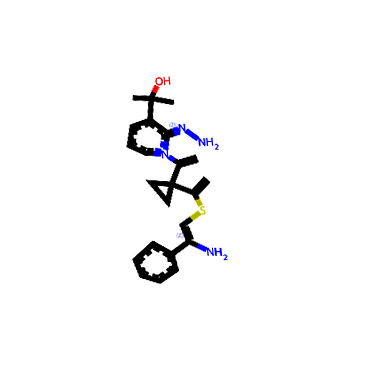 C=C(S/C=C(\N)c1ccccc1)C1(C(=C)n2cccc(C(C)(C)O)/c2=N/N)CC1